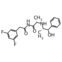 C[C@H](N[C@@H](C)[C@H](O)c1ccccc1)C(=O)NC(=O)Cc1cc(F)cc(F)c1